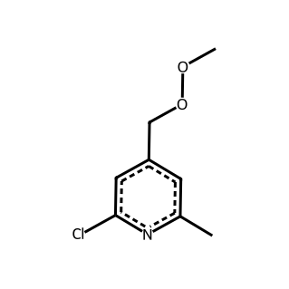 COOCc1cc(C)nc(Cl)c1